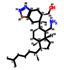 CC(C)CCC[C@@H](C)[C@H]1CC[C@H]2[C@H](CN)[C@@H]([C@@]3(C)Cc4snnc4C[C@@H]3CO)CC[C@]12C